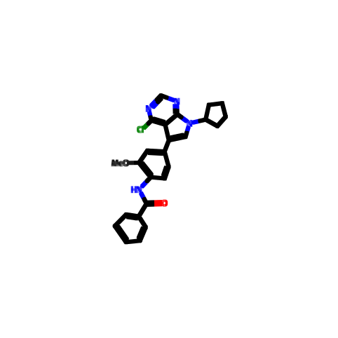 COc1cc(-c2cn(C3CCCC3)c3ncnc(Cl)c23)ccc1NC(=O)c1ccccc1